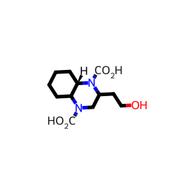 O=C(O)N1CC(CCO)N(C(=O)O)[C@H]2CCCCC21